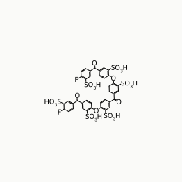 O=C(c1ccc(F)c(S(=O)(=O)O)c1)c1ccc(Oc2ccc(C(=O)c3ccc(Oc4ccc(C(=O)c5ccc(F)c(S(=O)(=O)O)c5)cc4S(=O)(=O)O)c(S(=O)(=O)O)c3)cc2S(=O)(=O)O)c(S(=O)(=O)O)c1